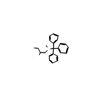 CCN(CC(CO)OC)C(c1ccccc1)(c1ccccc1)c1ccccc1